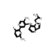 Cc1ccc(F)c(-c2cc(Nc3ccnc4cnn(CC(N)=O)c34)c(C)cn2)n1